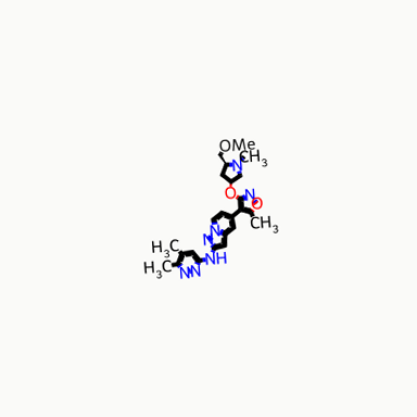 COC[C@@H]1C[C@H](Oc2noc(C)c2-c2ccn3nc(Nc4cc(C)c(C)nn4)cc3c2)CN1C